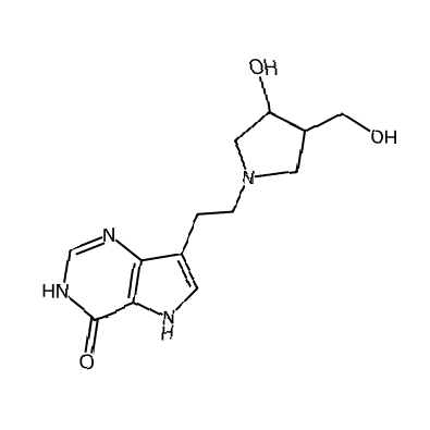 O=c1[nH]cnc2c(CCN3CC(O)C(CO)C3)c[nH]c12